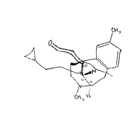 Cc1ccc2c(c1)[C@]13CCN(C)[C@H](C2)[C@@H]1CN(CC1CC1)C(=O)C3